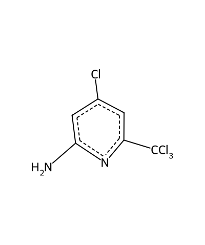 Nc1cc(Cl)cc(C(Cl)(Cl)Cl)n1